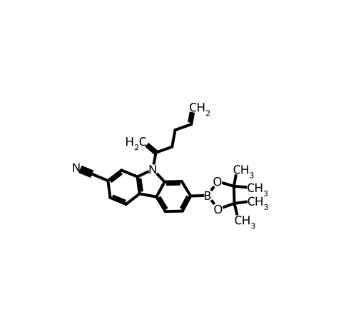 C=CCCC(=C)n1c2cc(C#N)ccc2c2ccc(B3OC(C)(C)C(C)(C)O3)cc21